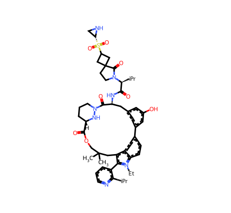 CCn1c(-c2cccnc2C(C)C)c2c3cc(ccc31)-c1cc(O)cc(c1)C[C@H](NC(=O)[C@H](C(C)C)N1CCC3(CC(S(=O)(=O)[C@@H]4CN4)C3)C1=O)C(=O)N1CCC[C@H](N1)C(=O)OCC(C)(C)C2